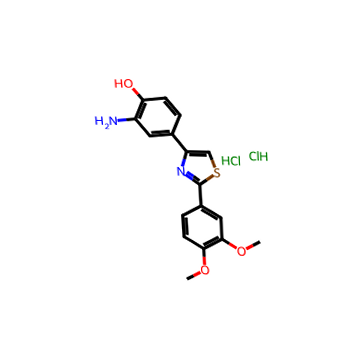 COc1ccc(-c2nc(-c3ccc(O)c(N)c3)cs2)cc1OC.Cl.Cl